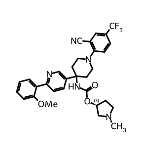 COc1ccccc1-c1ccc(C2(NC(=O)O[C@H]3CCN(C)C3)CCN(c3ccc(C(F)(F)F)cc3C#N)CC2)cn1